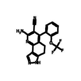 N#Cc1c(N)nc2c(c1-c1ccccc1OC(F)(F)F)CCc1[nH]ncc1-2